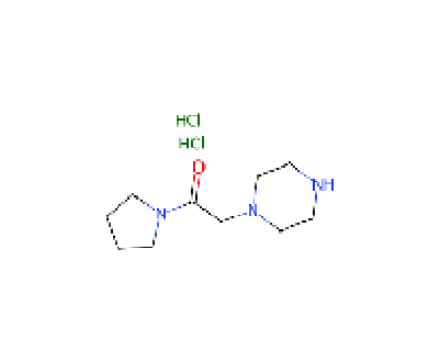 Cl.Cl.O=C(CN1CCNCC1)N1CCCC1